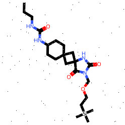 CCCNC(=O)NC1CCC2(CC1)CC1(C2)NC(=O)N(COCC[Si](C)(C)C)C1=O